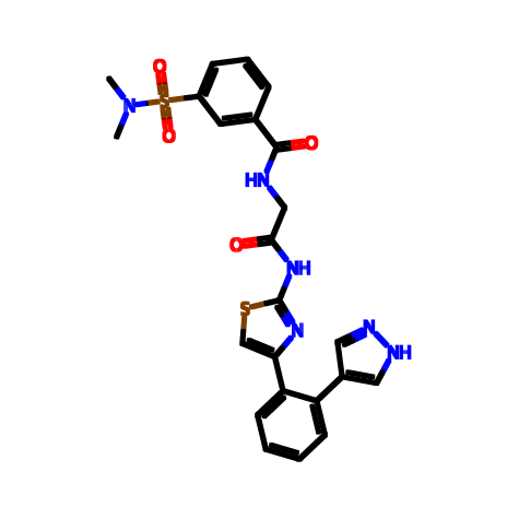 CN(C)S(=O)(=O)c1cccc(C(=O)NCC(=O)Nc2nc(-c3ccccc3-c3cn[nH]c3)cs2)c1